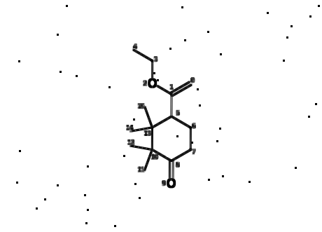 C=C(OCC)C1CCC(=O)C(C)(C)C1(C)C